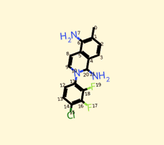 Cc1ccc2c(c1N)C=CN(c1ccc(Cl)c(F)c1F)C2N